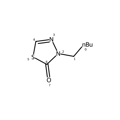 CCCCCn1ncsc1=O